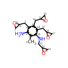 Cc1c(N)c(CC2CO2)c(CC2CO2)c(CC2CO2)c1NCC1CO1